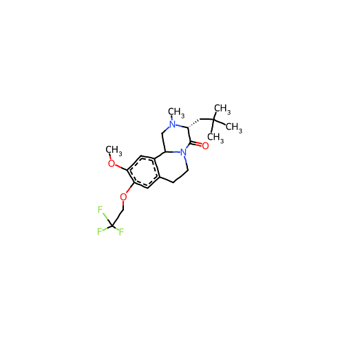 COc1cc2c(cc1OCC(F)(F)F)CCN1C(=O)[C@@H](CC(C)(C)C)N(C)CC21